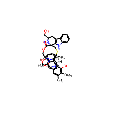 COc1c(C)cc2c(c1O)[C@H]1[C@@H]3[C@@H]4SC[C@]5(N[C@@H](CO)Cc6c5[nH]c5ccccc65)C(=O)OC[C@@H](c5c6c(c(C)c(OC(C)=O)c54)OCO6)N3C(C)(C2)CN1C